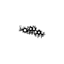 C[C@@H](Nc1ccnc2cnc(C3(O)CCC(N(C)C)CC3)cc12)c1cccc(C(F)F)c1F